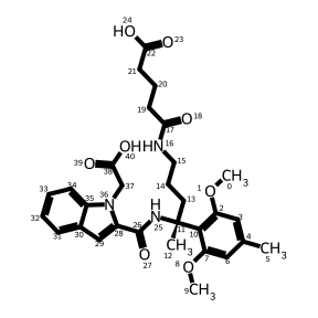 COc1cc(C)cc(OC)c1[C@@](C)(CCCNC(=O)CCCC(=O)O)NC(=O)c1cc2ccccc2n1CC(=O)O